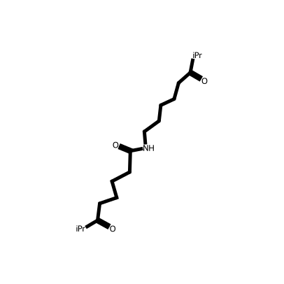 CC(C)C(=O)CCCCCNC(=O)CCCCC(=O)C(C)C